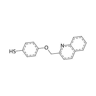 Sc1ccc(OCc2ccc3ccccc3n2)cc1